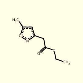 [CH2]COC(=O)Cc1cc(C)on1